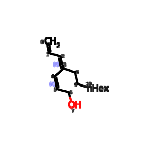 C=C/C=C(\C=C/CO)CCCCCCCC